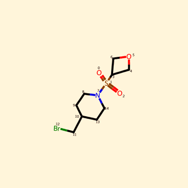 O=S(=O)(C1COC1)N1CCC(CBr)CC1